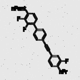 CCCCCc1ccc(-c2ccc(C#Cc3ccc(CCC)c(F)c3)cc2)c(F)c1F